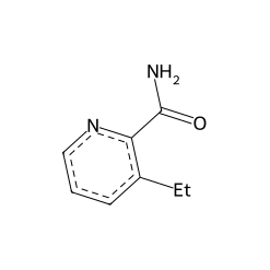 CCc1cccnc1C(N)=O